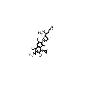 COCC[C@H](N)[C@H]1CN(c2c(F)cc3c(=O)n(N)c(=O)n(C4CC4)c3c2C)C[C@H]1C